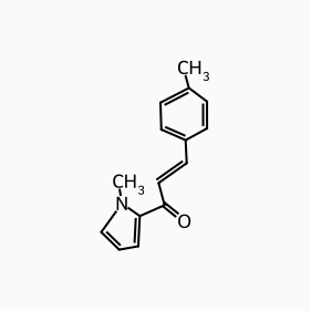 Cc1ccc(/C=C/C(=O)c2cccn2C)cc1